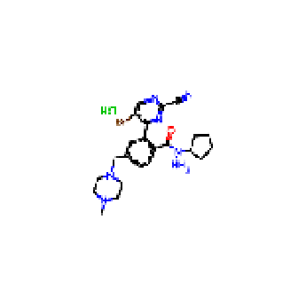 CN1CCN(Cc2ccc(C(=O)N(N)C3CCCC3)c(-c3nc(C#N)ncc3Br)c2)CC1.Cl